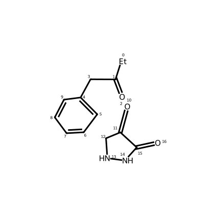 CCC(=O)Cc1ccccc1.O=C1CNNC1=O